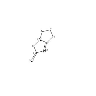 O=C1CN2CCCC2=N1